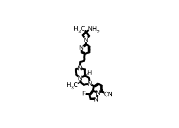 C[C@@H]1CN(c2ccc(C#N)n3ncc(F)c23)C[C@@H]2CN(CCc3ccc(N4CC(C)(N)C4)nc3)CCN21